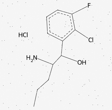 CCCC(N)C(O)c1cccc(F)c1Cl.Cl